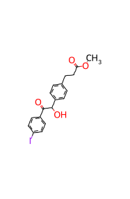 COC(=O)CCc1ccc(C(O)C(=O)c2ccc(I)cc2)cc1